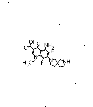 CCn1cc(C(=O)O)c(=O)c2c(N)c(F)c(N3CCC4(CCNC4)C3)c(F)c21